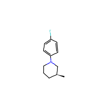 C[C@H]1CCCN(c2ccc(F)cc2)C1